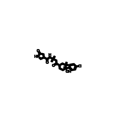 CC(C)(CC(=O)N1CC[C@](O)(c2ccc(Cl)cc2)C(C)(C)C1)NC(=O)C1CNC(=O)C1